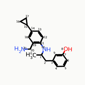 CC(Cc1cccc(O)c1)Nc1ccc(C2CC2)cc1CN